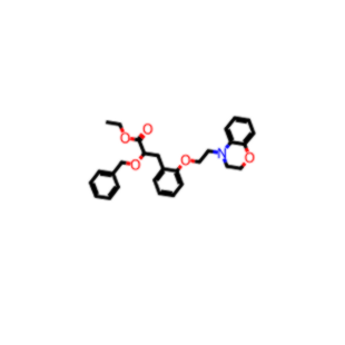 CCOC(=O)C(Cc1ccccc1OCCN1CCOc2ccccc21)OCc1ccccc1